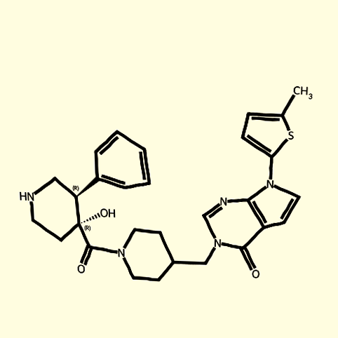 Cc1ccc(-n2ccc3c(=O)n(CC4CCN(C(=O)[C@@]5(O)CCNC[C@H]5c5ccccc5)CC4)cnc32)s1